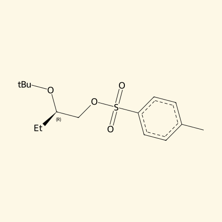 CC[C@H](COS(=O)(=O)c1ccc(C)cc1)OC(C)(C)C